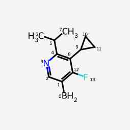 Bc1cnc(C(C)C)c(C2CC2)c1F